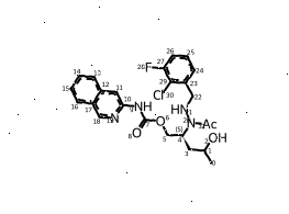 C[C](O)C[C@@H](COC(=O)Nc1cc2ccccc2cn1)N(NCc1cccc(F)c1Cl)C(C)=O